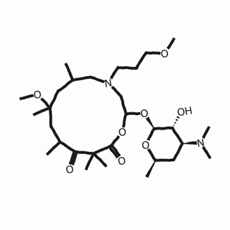 COCCCN1CC(C)CC(C)(OC)CC(C)C(=O)C(C)(C)C(=O)OC(O[C@@H]2O[C@H](C)C[C@H](N(C)C)[C@H]2O)C1